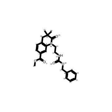 COC(=O)c1ccc2c(c1)N(CCNC(=O)OCc1ccccc1)C(=O)C(C)(C)C2